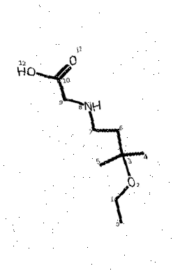 CCOC(C)(C)CCNCC(=O)O